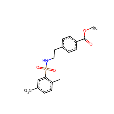 Cc1ccc([N+](=O)[O-])cc1S(=O)(=O)NCCc1ccc(C(=O)OC(C)(C)C)cc1